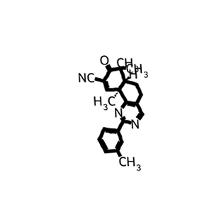 Cc1cccc(-c2ncc3c(n2)[C@@]2(C)C=C(C#N)C(=O)C(C)(C)[C@@H]2CC3)c1